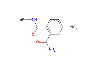 CCCNC(=O)c1ccc([N+](=O)[O-])cc1C(N)=O